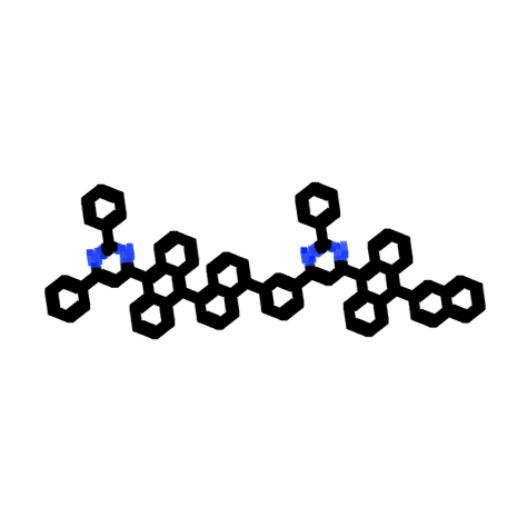 c1ccc(-c2cc(-c3c4ccccc4c(-c4cccc5c(-c6cccc(-c7cc(-c8c9ccccc9c(-c9ccc%10ccccc%10c9)c9ccccc89)nc(-c8ccccc8)n7)c6)cccc45)c4ccccc34)nc(-c3ccccc3)n2)cc1